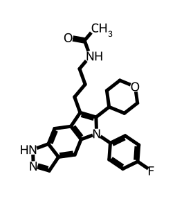 CC(=O)NCCCc1c(C2CCOCC2)n(-c2ccc(F)cc2)c2cc3cn[nH]c3cc12